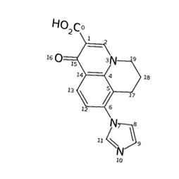 O=C(O)c1cn2c3c(c(-n4ccnc4)ccc3c1=O)CCC2